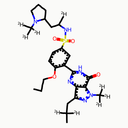 [2H]C(CC1CCCN1C([2H])([2H])[2H])NS(=O)(=O)c1ccc(OCCC)c(-c2nc3c(CC([2H])([2H])C)nn(C([2H])([2H])[2H])c3c(=O)[nH]2)c1